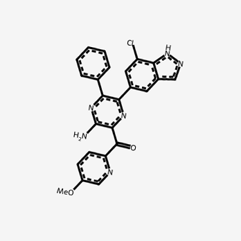 COc1ccc(C(=O)c2nc(-c3cc(Cl)c4[nH]ncc4c3)c(-c3ccccc3)nc2N)nc1